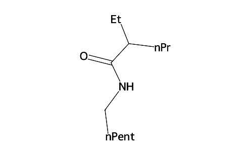 CCCCCCNC(=O)C(CC)CCC